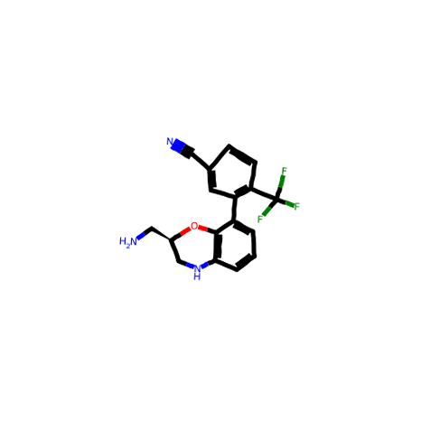 N#Cc1ccc(C(F)(F)F)c(-c2cccc3c2O[C@H](CN)CN3)c1